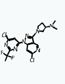 CN(C)C1CCN(c2nn(-c3cc(Cl)nc(C(C)(F)F)n3)c3cc(Cl)ncc23)C1